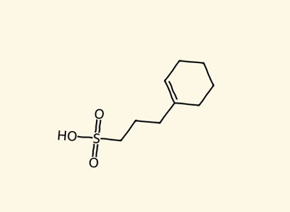 O=S(=O)(O)CCCC1=CCCCC1